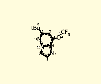 CC(C)(C)c1cc(OC(F)(F)F)c2nccn2n1